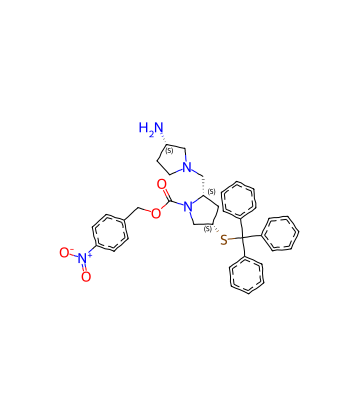 N[C@H]1CCN(C[C@@H]2C[C@H](SC(c3ccccc3)(c3ccccc3)c3ccccc3)CN2C(=O)OCc2ccc([N+](=O)[O-])cc2)C1